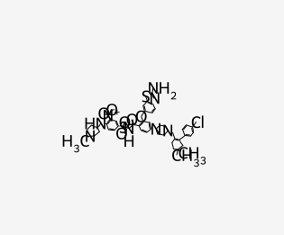 CN1CCC(Nc2ccc(S(=O)(=O)NC(=O)c3ccc(N4CCN(CC5=C(c6ccc(Cl)cc6)CC(C)(C)CC5)CC4)cc3Oc3ccc4nc(N)sc4c3)cc2[N+](=O)[O-])CC1